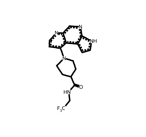 O=C(NCC(F)(F)F)C1CCN(c2ccnc3cnc4[nH]ccc4c23)CC1